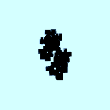 O=S(=O)(CCCC1CCCN1S(=O)(=O)c1cccc(Cl)c1Cl)N1[C@@H]2CC[C@H]1CC(Oc1ccncc1)C2